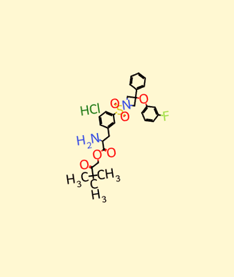 CC(C)(C)C(=O)COC(=O)[C@@H](N)Cc1cccc(S(=O)(=O)N2CC(Oc3cccc(F)c3)(c3ccccc3)C2)c1.Cl